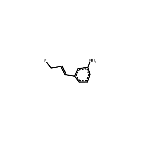 Nc1cccc(/C=C/CF)c1